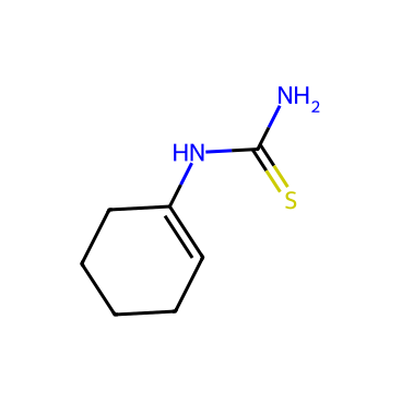 NC(=S)NC1=CCCCC1